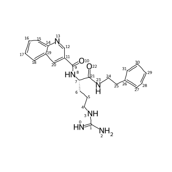 N=C(N)NCCC[C@H](NC(=O)c1cnc2ccccc2c1)C(=O)NCCc1ccccc1